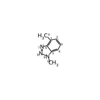 Cc1[c]ccc2c1nnn2C